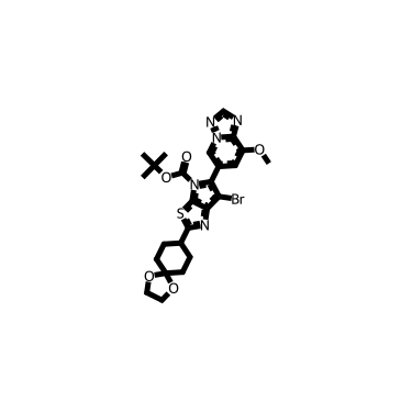 COc1cc(-c2c(Br)c3nc(C4CCC5(CC4)OCCO5)sc3n2C(=O)OC(C)(C)C)cn2ncnc12